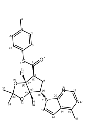 Cc1ccc(SC(=O)[C@H]2C[C@@H](n3ccc4c(C)ncnc43)[C@@H]3OC(C)(C)O[C@@H]32)cc1